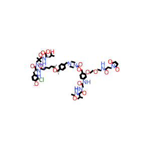 COc1ccc(C[C@@H](NC(=O)/C=C/CC[C@H](C)O[C@@H](C)c2ccc(CN3CCN(C(=O)OCc4ccc(NC(=O)CNC(=O)C(NC(C)=O)C(C)C)cc4OCCOCCNC(=O)CCN4C(=O)C=CC4=O)CC3)cc2)C(=O)NCC(C)(C)C(=O)N[C@@H](CC(C)C)C(=O)O)cc1Cl